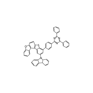 C1=CC2c3ccccc3N(c3cc(-c4ccc(-c5nc(-c6ccccc6)nc(-c6ccccc6)n5)cc4)c4sc5ccc6oc7ccccc7c6c5c4c3)C2C=C1